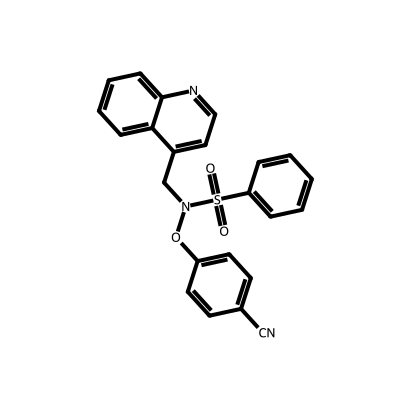 N#Cc1ccc(ON(Cc2ccnc3ccccc23)S(=O)(=O)c2ccccc2)cc1